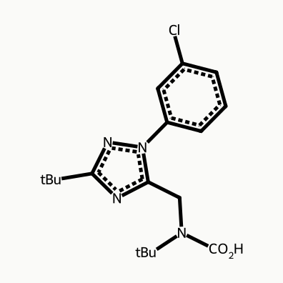 CC(C)(C)c1nc(CN(C(=O)O)C(C)(C)C)n(-c2cccc(Cl)c2)n1